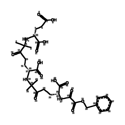 CC(C)(N[C@H](CCC(=O)O)C(=O)O)C(=O)CC[C@@H](NC(C)(C)C(=O)CC[C@@H](NC(=O)C(=O)OCc1ccccc1)C(=O)O)C(=O)O